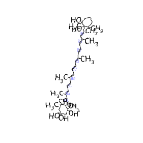 CC(/C=C/C=C(C)/C=C/C1(O)C(C)(C)CCCC1(C)O)=C\C=C\C=C(C)\C=C\C=C(C)\C=C\C1(O)C(C)(C)CC(O)(O)CC1(C)O